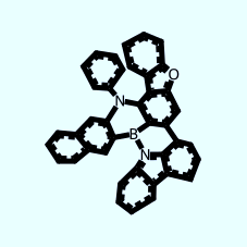 c1ccc(N2c3cc4ccccc4cc3B3c4c(cc5oc6ccccc6c5c42)-c2cccc4c5ccccc5n3c24)cc1